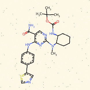 CN(c1ncc(C(N)=O)c(Nc2ccc(-c3cncs3)cc2)n1)[C@@H]1CCCC[C@@H]1NC(=O)OC(C)(C)C